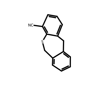 N#Cc1cccc2c1SCc1ccccc1C2